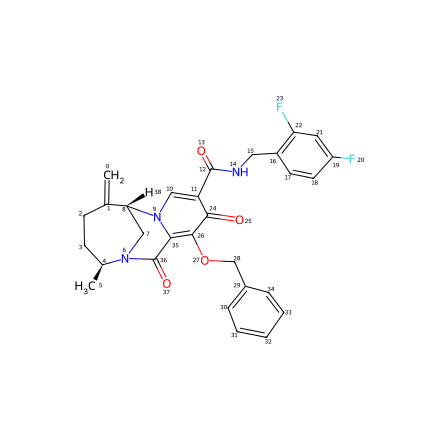 C=C1CC[C@H](C)N2C[C@H]1n1cc(C(=O)NCc3ccc(F)cc3F)c(=O)c(OCc3ccccc3)c1C2=O